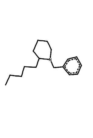 CCCCCC1CCCCN1Cc1ccccc1